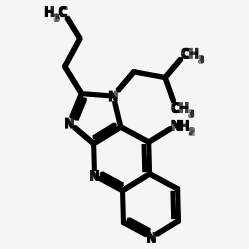 CCCc1nc2nc3cnccc3c(N)c2n1CC(C)C